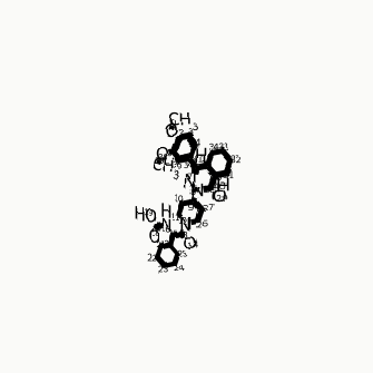 COc1ccc(C2=NN(C3CCN(C(=O)[C@@H](NC(=O)O)C4CCCCC4)CC3)C(=O)[C@@H]3CCCC[C@H]23)cc1OC